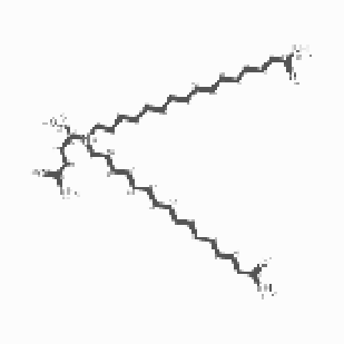 NC(=O)CCCCCCCCCCCCCCCN(CCCCCCCCCCCCCCCC(N)=O)[C@@H](CCC(N)=O)C(=O)O